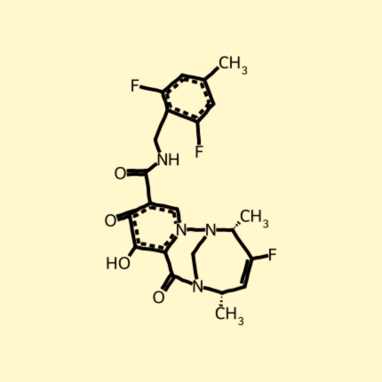 Cc1cc(F)c(CNC(=O)c2cn3c(c(O)c2=O)C(=O)N2CN3[C@H](C)C(F)=C[C@@H]2C)c(F)c1